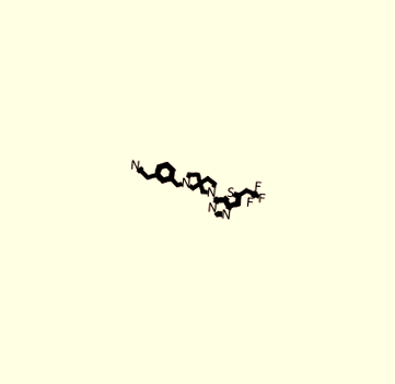 N#CCc1cccc(CN2CCC3(CCN(c4ncnc5cc(CC(F)(F)F)sc45)C3)C2)c1